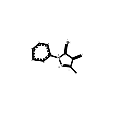 C=C1C(=N)N(c2ccccc2)N=C1C